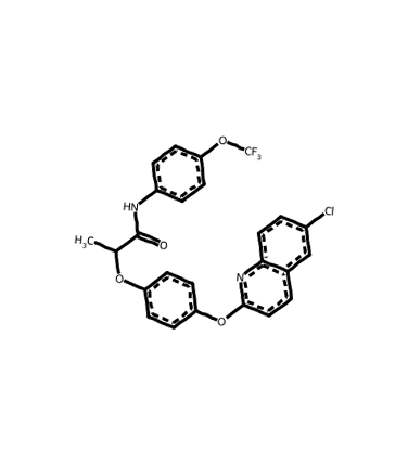 CC(Oc1ccc(Oc2ccc3cc(Cl)ccc3n2)cc1)C(=O)Nc1ccc(OC(F)(F)F)cc1